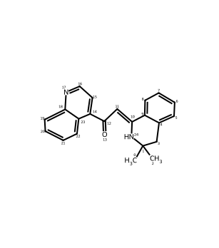 CC1(C)Cc2ccccc2/C(=C/C(=O)c2ccnc3ccccc23)N1